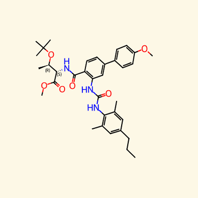 CCCc1cc(C)c(NC(=O)Nc2cc(-c3ccc(OC)cc3)ccc2C(=O)N[C@H](C(=O)OC)[C@@H](C)OC(C)(C)C)c(C)c1